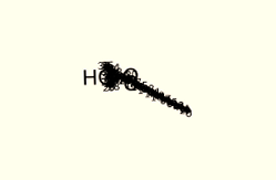 CCCCCCCCCCCCCCCCCCOC(=O)CCc1cc(C(C)(C)C)c(O)c(C(C)(C)CC)c1